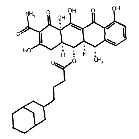 C[C@H]1c2cccc(O)c2C(=O)C2=C(O)[C@]3(O)C(=O)C(C(N)=O)=C(O)C[C@@H]3[C@@H](OC(=O)CCCC3CC4CCCC(C3)C4)[C@@H]21